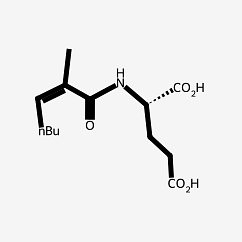 CCCCC=C(C)C(=O)N[C@@H](CCC(=O)O)C(=O)O